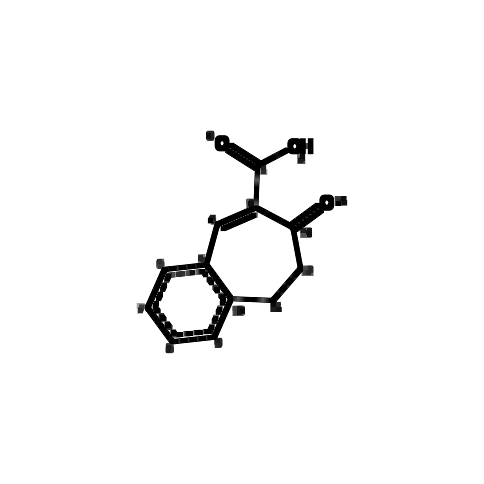 O=C(O)C1=Cc2ccccc2CCC1=O